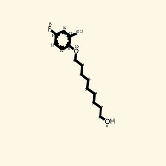 OCCCCCCCCCOc1ccc(F)cc1F